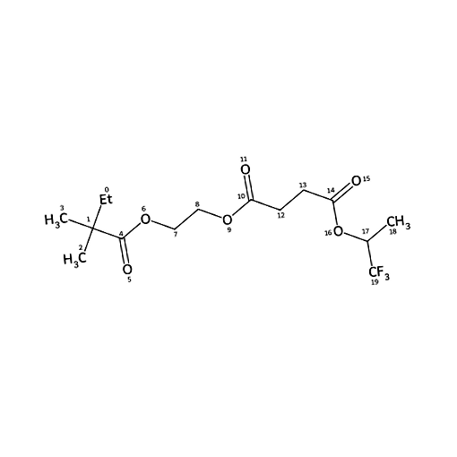 CCC(C)(C)C(=O)OCCOC(=O)CCC(=O)OC(C)C(F)(F)F